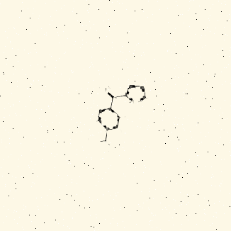 CC(O)c1ccc(C(=O)c2cccs2)cc1